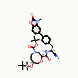 Cn1c(=O)oc2ccc(-c3ccc(C[C@@H](C#N)NC(=O)[C@@H]4CN(C(=O)OC(C)(C)C)CC[C@H](O[Si](C)(C)C(C)(C)C)CO4)cc3)cc21